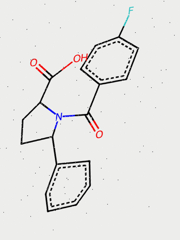 O=C(O)C1CCC(c2ccccc2)N1C(=O)c1ccc(F)cc1